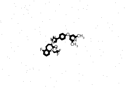 Cc1cc(Oc2ccc(-c3cn(C4CCc5c(F)cccc5N(CC(F)(F)F)C4=O)nn3)cc2)cc(C)n1